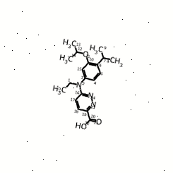 CCN(c1ccc(C(C)C)c(OC(C)C)c1)c1ccc(C(=O)O)nn1